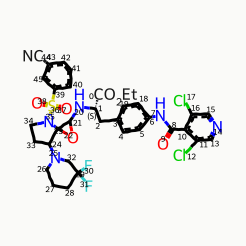 CCOC(=O)[C@H](Cc1ccc(NC(=O)c2c(Cl)cncc2Cl)cc1)NC1OC12C(N1CCCC(F)(F)C1)CCN2S(=O)(=O)c1cccc(C#N)c1